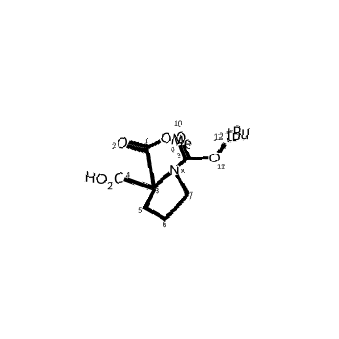 COC(=O)C1(C(=O)O)CCCN1C(=O)OC(C)(C)C